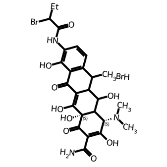 Br.CCC(Br)C(=O)Nc1ccc2c(c1O)C(=O)C1=C(O)[C@]3(O)C(=O)C(C(N)=O)=C(O)[C@@H](N(C)C)C3C(O)C1C2C